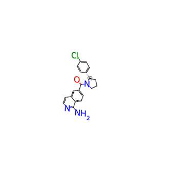 Nc1nccc2cc(C(=O)N3CCC[C@H]3c3ccc(Cl)cc3)ccc12